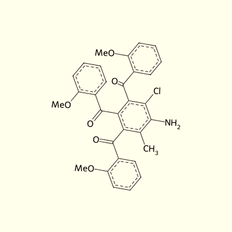 COc1ccccc1C(=O)c1c(C)c(N)c(Cl)c(C(=O)c2ccccc2OC)c1C(=O)c1ccccc1OC